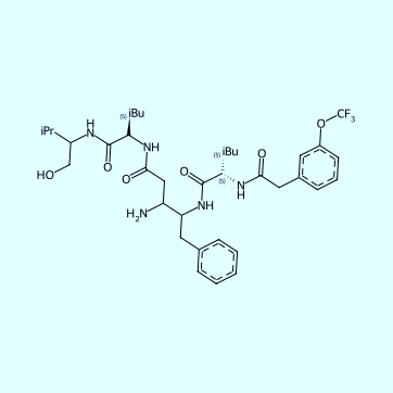 CC[C@H](C)C(NC(=O)CC(N)C(Cc1ccccc1)NC(=O)[C@@H](NC(=O)Cc1cccc(OC(F)(F)F)c1)[C@@H](C)CC)C(=O)NC(CO)C(C)C